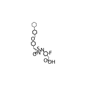 CN1C(=O)/C(=C/c2ccc(OCc3ccc(C4CCCCC4)cc3)cc2)S/C1=N/c1ccc(CC(=O)O)c(F)c1